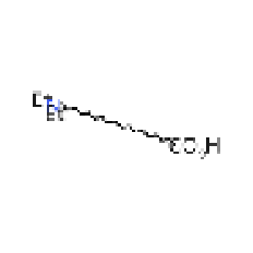 CCN(CC)CCCCCCCCCCCCCCCCCC(=O)O